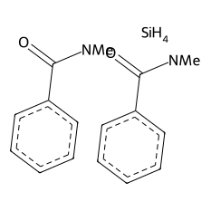 CNC(=O)c1ccccc1.CNC(=O)c1ccccc1.[SiH4]